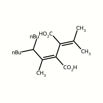 CCCCC(CCCC)C(C)=C(C(=O)O)C(C(=O)O)=C(C)C